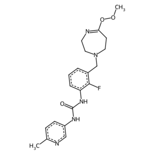 COOC1=NCCN(Cc2cccc(NC(=O)Nc3ccc(C)nc3)c2F)CC1